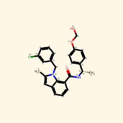 Cc1cc2cccc(C(=O)N[C@@H](C)c3ccc(OCO)cc3)c2n1Cc1cccc(Cl)c1